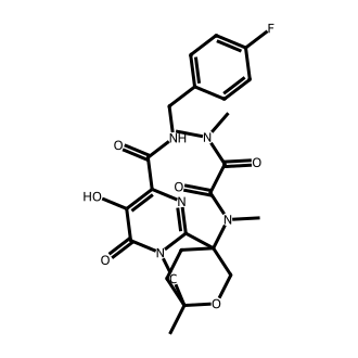 CN(C)C(=O)C(=O)N(C)C12CCC(C)(Cn3c1nc(C(=O)NCc1ccc(F)cc1)c(O)c3=O)OC2